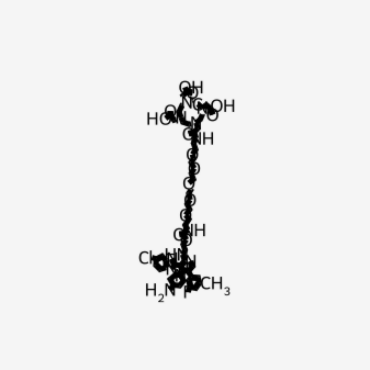 Cc1cc(F)cc(-c2cnc(NCCOC(=O)NCCOCCOCCOCCOCCOCCNC(=O)CN3CCN(CC(=O)O)CCN(CC(=O)O)CCN(CC(=O)O)CC3)c(-c3nc4cc(Cl)ccc4[nH]3)c2N2CCC(N)CC2)c1